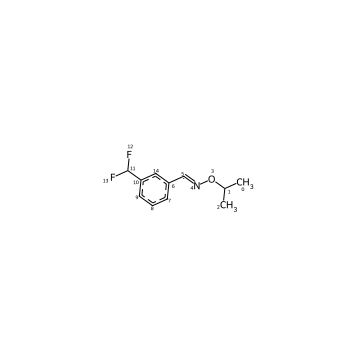 CC(C)O/N=[C]/c1cccc(C(F)F)c1